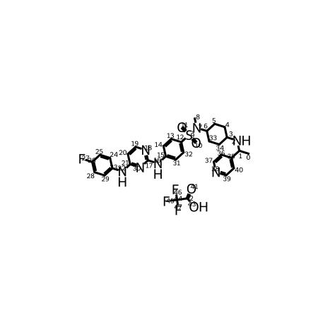 CC(NC1CCC(N(C)S(=O)(=O)c2ccc(Nc3nccc(Nc4ccc(F)cc4)n3)cc2)CC1)c1ccncc1.O=C(O)C(F)(F)F